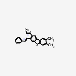 Cc1cc2sc3cc(/C=C/c4ccccc4)c(/C=C/P)cc3c2cc1C